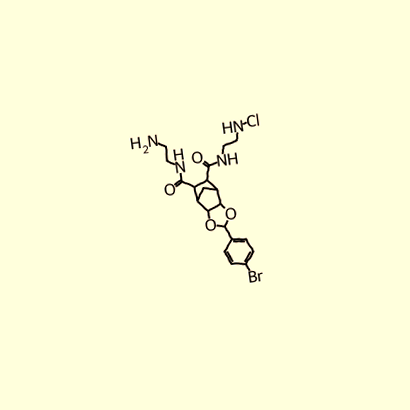 NCCNC(=O)C1C2CC(C3OC(c4ccc(Br)cc4)OC23)C1C(=O)NCCNCl